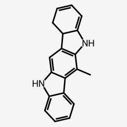 Cc1c2c(cc3[nH]c4ccccc4c13)C1CC=CC=C1N2